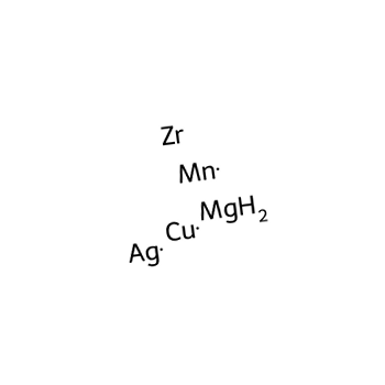 [Ag].[Cu].[MgH2].[Mn].[Zr]